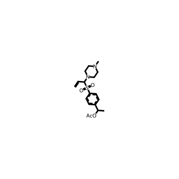 C=CC(N1CCN(C)CC1)S(=O)(=O)c1ccc(C(C)OC(C)=O)cc1